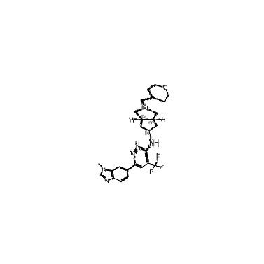 Cn1cnc2ccc(-c3cc(C(F)(F)F)c(N[C@H]4C[C@@H]5CN(CC6CCOCC6)C[C@@H]5C4)nn3)cc21